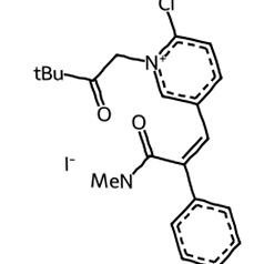 CNC(=O)C(=Cc1ccc(Cl)[n+](CC(=O)C(C)(C)C)c1)c1ccccc1.[I-]